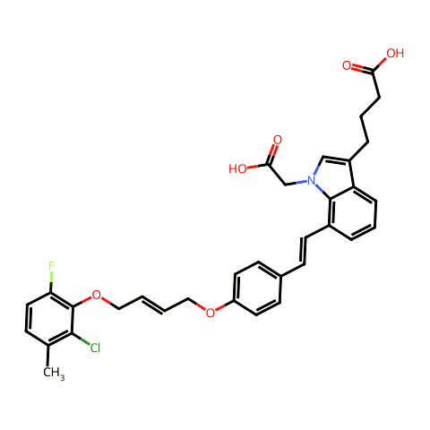 Cc1ccc(F)c(OC/C=C/COc2ccc(C=Cc3cccc4c(CCCC(=O)O)cn(CC(=O)O)c34)cc2)c1Cl